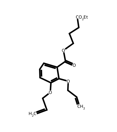 C=CCOc1cccc(C(=O)OCCCC(=O)OCC)c1OCC=C